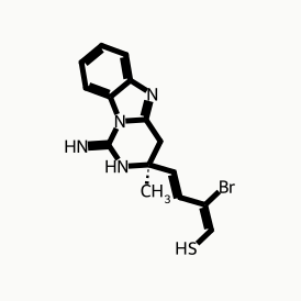 C[C@@]1(/C=C/C(Br)=C\S)Cc2nc3ccccc3n2C(=N)N1